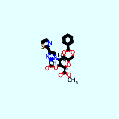 COC(=O)[C@@H]1OC2COC(c3ccccc3)O[C@@H]2C(n2cc(-c3nccs3)nn2)C1OC(C)=O